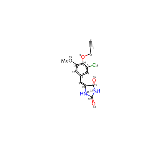 C#CCOc1c(Cl)cc(/C=C2/NC(=O)NC2=O)cc1OC